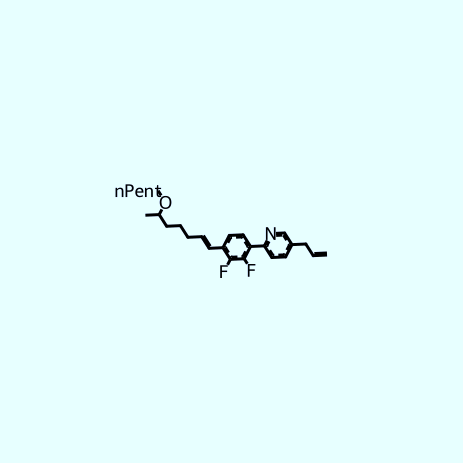 C=CCc1ccc(-c2ccc(/C=C/CCCC(C)OCCCCC)c(F)c2F)nc1